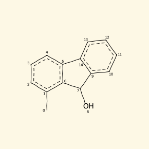 Cc1cccc2c1C(O)c1ccccc1-2